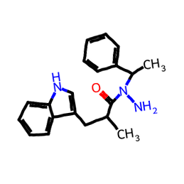 CC(Cc1c[nH]c2ccccc12)C(=O)N(N)C(C)c1ccccc1